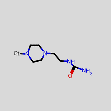 CCN1CCN(CCNC(N)=O)CC1